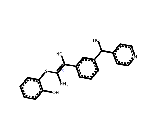 N#C/C(=C(/N)Sc1ccccc1O)c1cccc(C(O)c2ccncc2)c1